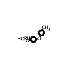 Cc1ccc(Oc2ccc(OPO)cc2)cc1